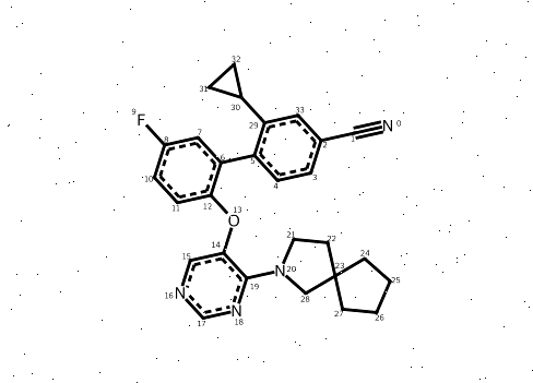 N#Cc1ccc(-c2cc(F)ccc2Oc2cncnc2N2CCC3(CCCC3)C2)c(C2CC2)c1